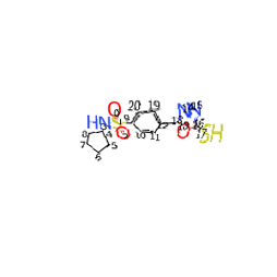 O=S(=O)(NC1CCCC1)c1ccc(-c2nnc(S)o2)cc1